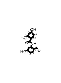 O=Cc1ccc(O)cc1NC(=O)c1ccc(O)cc1O